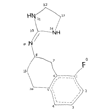 Fc1cccc2c1CC(N=C1NCCN1)CC2